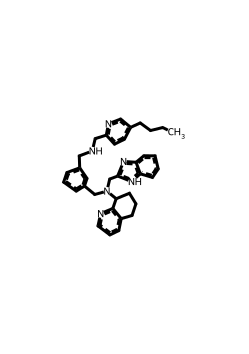 CCCCc1ccc(CNCc2cccc(CN(Cc3nc4ccccc4[nH]3)C3CCCc4cccnc43)c2)nc1